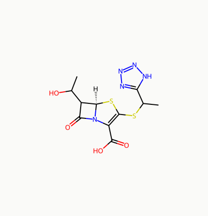 CC(SC1=C(C(=O)O)N2C(=O)C(C(C)O)[C@H]2S1)c1nnn[nH]1